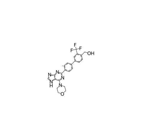 OCc1ccc(-c2c[c]c(-c3nc(N4CCOCC4)c4[nH]cnc4n3)cc2)cc1C(F)(F)F